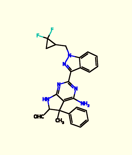 CC1(c2ccccc2)c2c(N)nc(-c3nn(CC4CC4(F)F)c4ccccc34)nc2NC1C=O